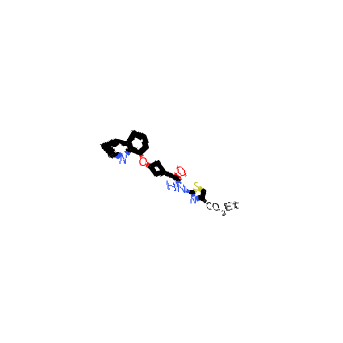 CCOC(=O)c1csc(NC(=O)C2CC(Oc3cccc4cccnc34)C2)n1